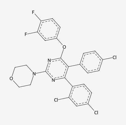 Fc1ccc(Oc2nc(N3CCOCC3)nc(-c3ccc(Cl)cc3Cl)c2-c2ccc(Cl)cc2)cc1F